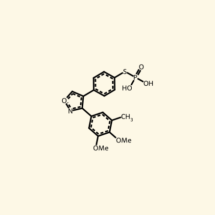 COc1cc(-c2nocc2-c2ccc(SP(=O)(O)O)cc2)cc(C)c1OC